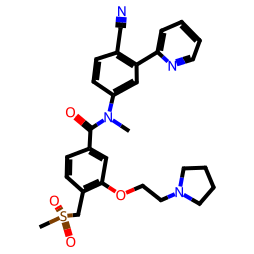 CN(C(=O)c1ccc(CS(C)(=O)=O)c(OCCN2CCCC2)c1)c1ccc(C#N)c(-c2ccccn2)c1